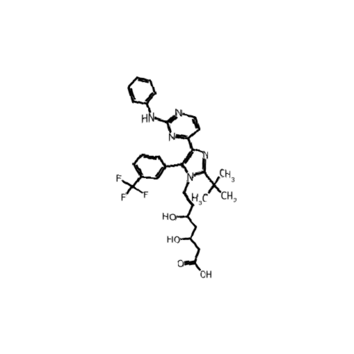 CC(C)(C)c1nc(-c2ccnc(Nc3ccccc3)n2)c(-c2cccc(C(F)(F)F)c2)n1CCC(O)CC(O)CC(=O)O